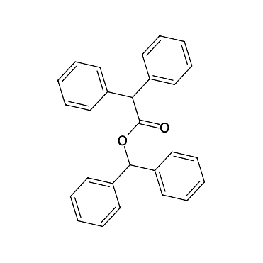 O=C(OC(c1ccccc1)c1ccccc1)C(c1ccccc1)c1ccccc1